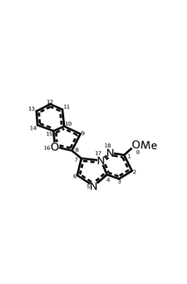 COc1ccc2ncc(-c3cc4ccccc4o3)n2n1